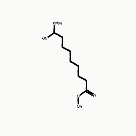 CCCCCCCCCC(CCCCCCCC(=O)OO)N=O